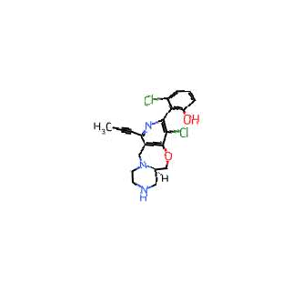 CC#Cc1nc(-c2c(O)cccc2Cl)c(Cl)c2c1CN1CCNC[C@@H]1CO2